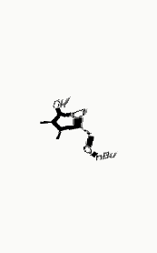 CCCCOC[C@H]1OC(O)[C@H](C)[C@@H]1C